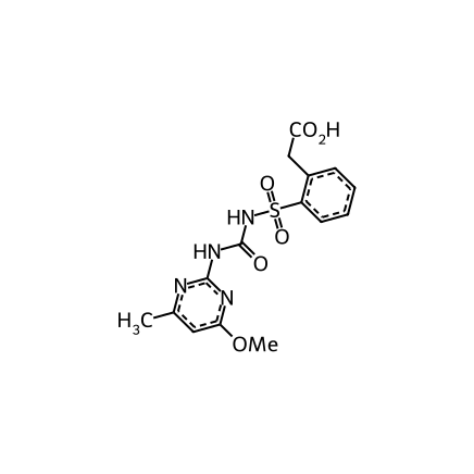 COc1cc(C)nc(NC(=O)NS(=O)(=O)c2ccccc2CC(=O)O)n1